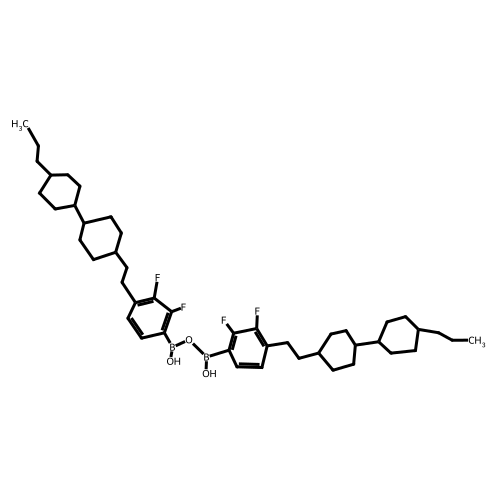 CCCC1CCC(C2CCC(CCc3ccc(B(O)OB(O)c4ccc(CCC5CCC(C6CCC(CCC)CC6)CC5)c(F)c4F)c(F)c3F)CC2)CC1